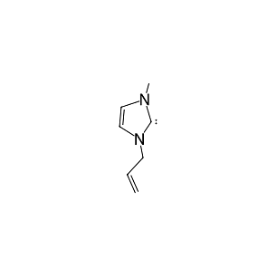 C=CCN1[C]N(C)C=C1